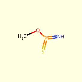 COP(=N)=S